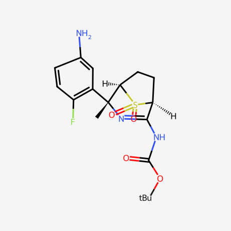 CC(C)(C)OC(=O)NC1=N[C@](C)(c2cc(N)ccc2F)[C@H]2CC[C@@H]1S2(=O)=O